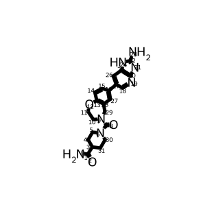 NC(=O)C1CCN(C(=O)N2CCOc3ccc(-c4cnc5nc(N)[nH]c5c4)cc3C2)CC1